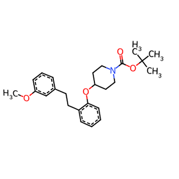 COc1cccc(CCc2ccccc2OC2CCN(C(=O)OC(C)(C)C)CC2)c1